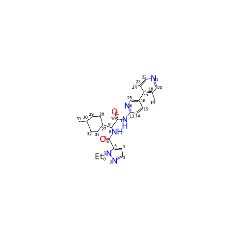 CCn1nccc1C(=O)N[C@H](C(=O)Nc1ccc(-c2c(C)cncc2C)cn1)C1CCC(C)CC1